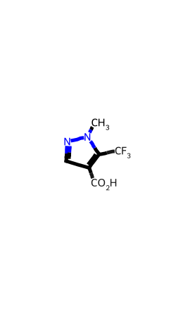 Cn1ncc(C(=O)O)c1C(F)(F)F